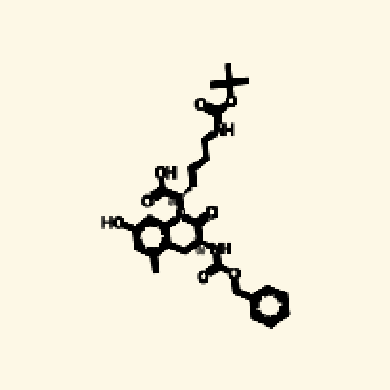 Cc1cc(O)cc2c1C[C@H](NC(=O)OCc1ccccc1)C(=O)N2[C@@H](CCCCNC(=O)OC(C)(C)C)C(=O)O